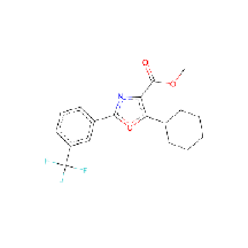 COC(=O)c1nc(-c2cccc(C(F)(F)F)c2)oc1C1CCCCC1